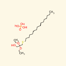 CCCCCCCCCCCCCCCCSCC(CO)(OCC)OCC.O=P(O)(O)O